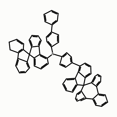 C1=CC2=C(CC1)c1ccccc1C21c2ccccc2-c2c(N(c3ccc(-c4ccccc4)cc3)c3ccc(-c4cccc5c4-c4ccccc4C54c5ccccc5-c5ccccc5-c5ccccc54)cc3)cccc21